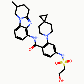 CC1CCc2nc3c(NC(=O)c4ccc(NS(=O)(=O)CCO)cc4N4CCC5(CC4)CC5)cccc3n2C1